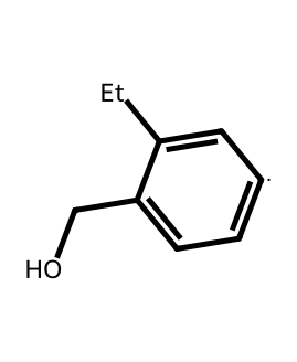 CCc1c[c]ccc1CO